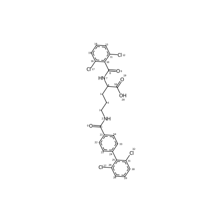 O=C(NCCCC(NC(=O)c1c(Cl)cccc1Cl)C(=O)O)c1ccc(-c2c(Cl)cccc2Cl)cc1